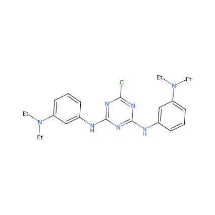 CCN(CC)c1cccc(Nc2nc(Cl)nc(Nc3cccc(N(CC)CC)c3)n2)c1